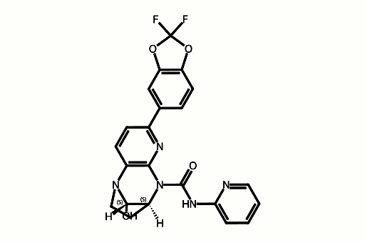 O=C(Nc1ccccn1)N1c2nc(-c3ccc4c(c3)OC(F)(F)O4)ccc2N2CC[C@H]1[C@@H]2O